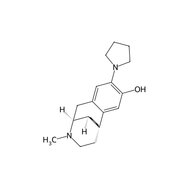 CN1CC[C@@]23CCCC[C@@H]2[C@@H]1Cc1cc(N2CCCC2)c(O)cc13